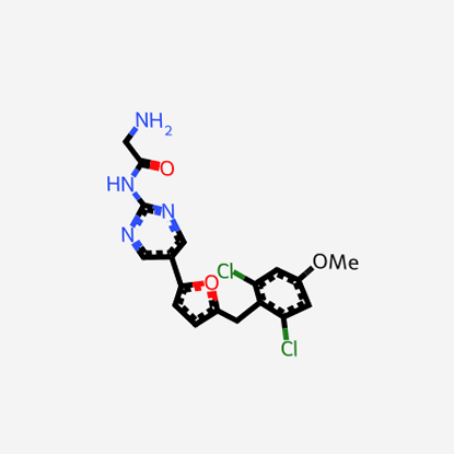 COc1cc(Cl)c(Cc2ccc(-c3cnc(NC(=O)CN)nc3)o2)c(Cl)c1